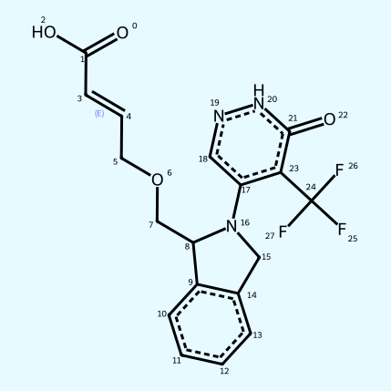 O=C(O)/C=C/COCC1c2ccccc2CN1c1cn[nH]c(=O)c1C(F)(F)F